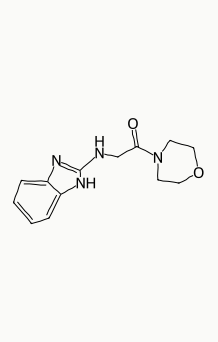 O=C(CNc1nc2ccccc2[nH]1)N1CCOCC1